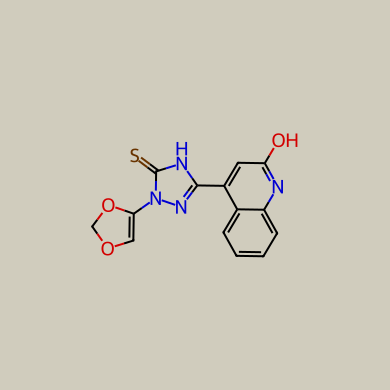 Oc1cc(-c2nn(C3=COCO3)c(=S)[nH]2)c2ccccc2n1